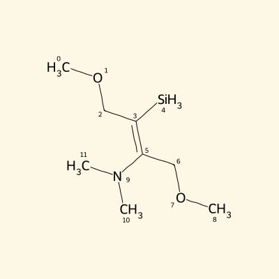 COCC([SiH3])=C(COC)N(C)C